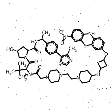 Cc1ncsc1-c1ccc([C@H](C)NC(=O)[C@@H]2C[C@@H](O)CN2C(=O)[C@@H](NC(=O)CN2CCN(CCN3CCC(OC4CC(Oc5ccc6c(c5)Sc5cc([N+](=O)[O-])ccc5N6)C4)CC3)CC2)C(C)(C)C)cc1